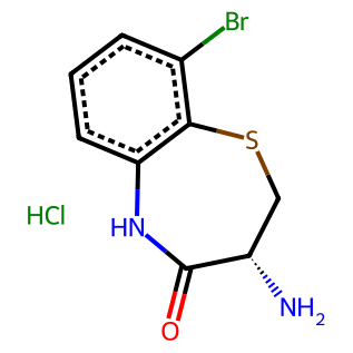 Cl.N[C@H]1CSc2c(Br)cccc2NC1=O